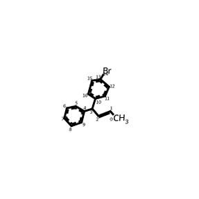 CC=CC(c1ccccc1)c1ccc(Br)cc1